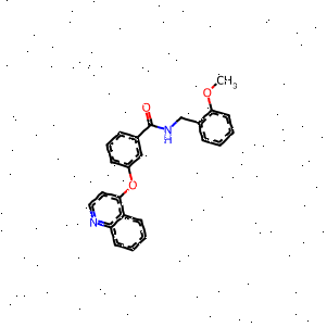 COc1ccccc1CNC(=O)c1cccc(Oc2ccnc3ccccc23)c1